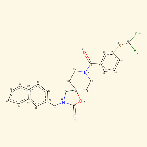 O=C1OC2(CCN(C(=O)c3cccc(SC(F)F)c3)CC2)CN1Cc1ccc2ccccc2c1